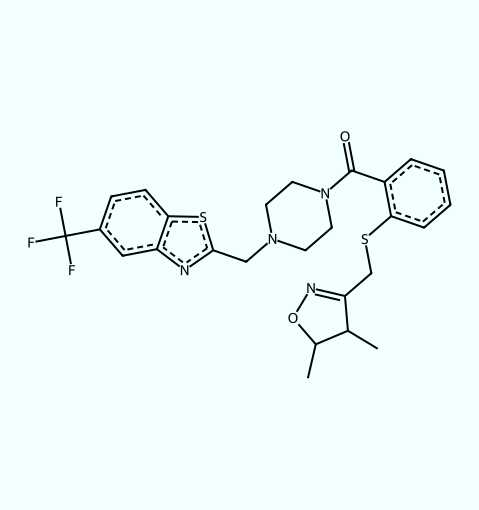 CC1ON=C(CSc2ccccc2C(=O)N2CCN(Cc3nc4cc(C(F)(F)F)ccc4s3)CC2)C1C